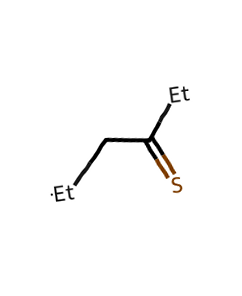 C[CH]CC(=S)CC